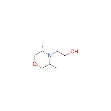 CC1COC[C@H](C)N1CCO